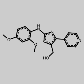 COc1ccc(Nc2nc(-c3ccncc3)c(CO)s2)c(OC)c1